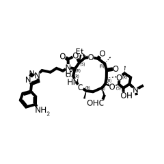 CC[C@H]1OC(=O)[C@H](C)C(=O)[C@H](C)[C@@H](O[C@@H]2O[C@H](C)CC(N(C)C)C2O)[C@@H](CC=O)C[C@@H](C)CN[C@H](C)[C@H]2N(CCCCn3cc(-c4cccc(N)c4)nn3)C(=O)O[C@]12C